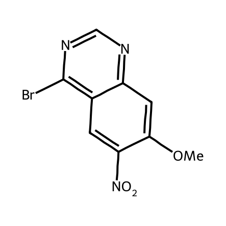 COc1cc2ncnc(Br)c2cc1[N+](=O)[O-]